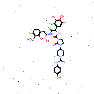 O=C(O)c1c(F)ccc2c1OB(O)[C@@H](NC(=O)C(NC(=O)N1CCN(C3CCN(C(=O)Nc4ccc(O)cc4)CC3)C1=O)c1cc(F)c(O)c(O)c1Cl)C2